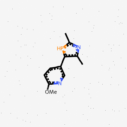 COc1ccc(-c2[pH]c(C)nc2C)cn1